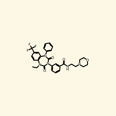 CCN1C(=O)N(c2cccc(C(=O)NCCN3CCOCC3)c2)C(=O)N(c2ccccc2)c2cc(C(F)(F)F)ccc21